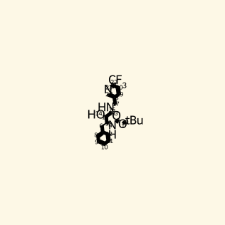 CC(C)(C)OC(=O)N[C@@H](Cc1ccccc1)[C@H](O)CNCc1ccc(C(F)(F)F)nc1